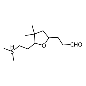 C[SH](C)CCC1OC(CCC=O)CC1(C)C